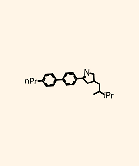 CCCc1ccc(-c2ccc(C3=NCC(CC(C)C(C)C)C3)cc2)cc1